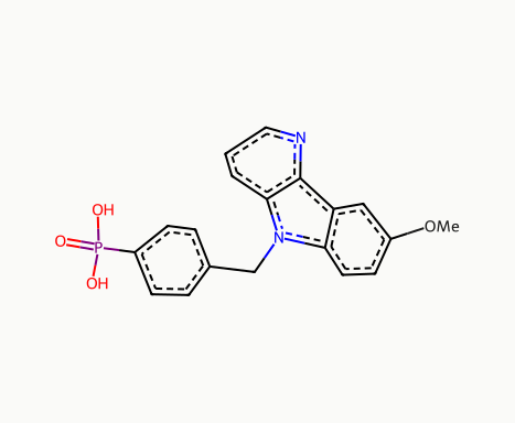 COc1ccc2c(c1)c1ncccc1n2Cc1ccc(P(=O)(O)O)cc1